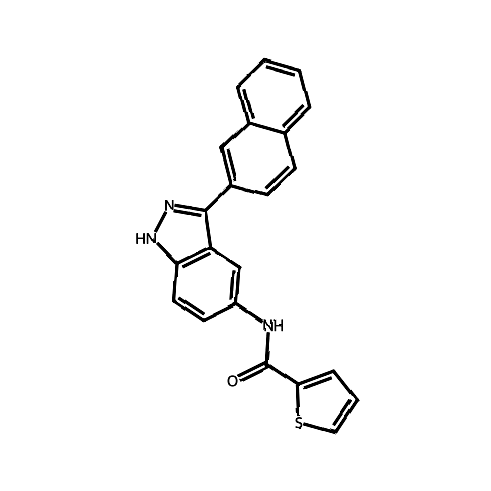 O=C(Nc1ccc2[nH]nc(-c3ccc4ccccc4c3)c2c1)c1cccs1